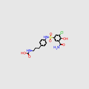 NC(=O)c1cc(S(=O)(=O)Nc2ccc(CCCNC(=O)O)cc2)cc(Cl)c1O